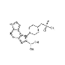 C[C@@H](O)c1nc2cnc3[nH]ccc3c2n1C1CCC(CS(C)(=O)=O)CC1